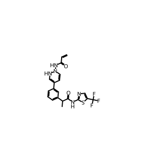 C=CC(=O)NN1C=CC(c2cccc(C(C)C(=O)Nc3ncc(C(F)(F)F)s3)c2)=CN1